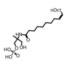 CCCCCCCC/C=C\CCCCCCCC(=O)NC(C)(CO)COP(=O)(O)O